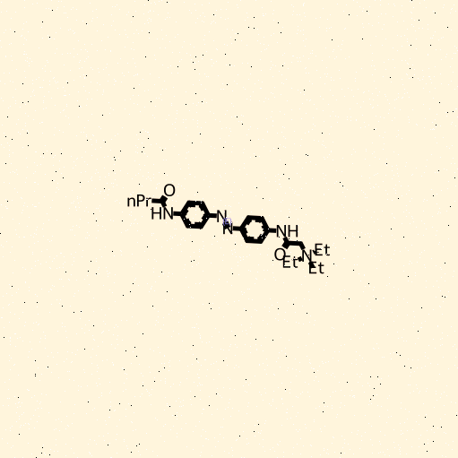 CCCC(=O)Nc1ccc(/N=N/c2ccc(NC(=O)C[N+](CC)(CC)CC)cc2)cc1